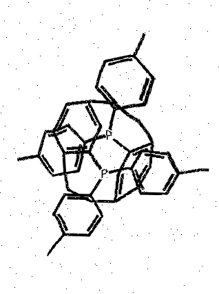 Cc1ccc(P(c2ccc(C)cc2)c2cc3ccc2CCc2ccc(c(P(c4ccc(C)cc4)c4ccc(C)cc4)c2)CC3)cc1